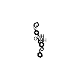 O=C(Nc1ccc(CN2CCCCC2)cc1)c1cc2cc(OCc3ccccc3)ccc2[nH]1